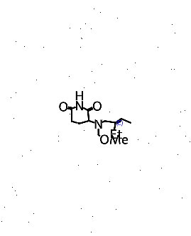 C/C=C(\CC)CN(COC)C1CCC(=O)NC1=O